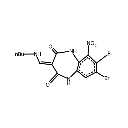 CCCCNC=C1C(=O)Nc2cc(Br)c(Br)c([N+](=O)[O-])c2NC1=O